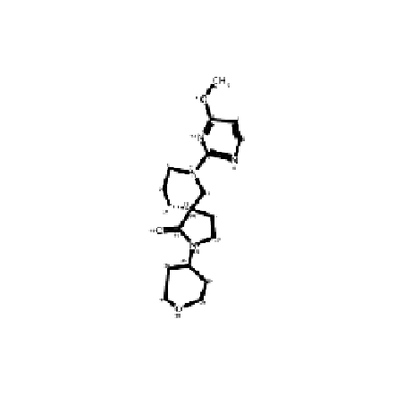 COc1ccnc(N2CCC[C@@]3(CCN(C4CCOCC4)C3=O)C2)n1